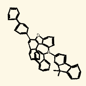 CC1(C)c2ccccc2-c2ccc(N(c3cccc4ccccc34)c3cccc4oc5c(-c6ccc(-c7ccccc7)cc6)cc6ccccc6c5c34)cc21